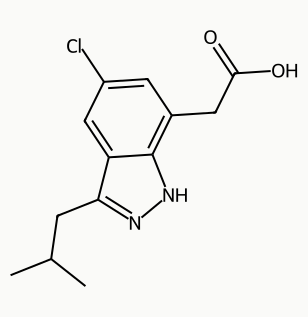 CC(C)Cc1n[nH]c2c(CC(=O)O)cc(Cl)cc12